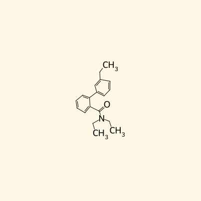 CCc1cccc(-c2ccccc2C(=O)N(CC)CC)c1